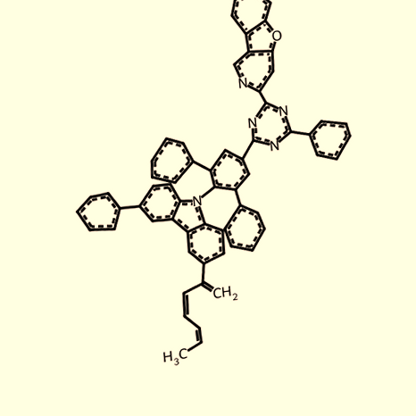 C=C(/C=C\C=C/C)c1ccc2c(c1)c1cc(-c3ccccc3)ccc1n2-c1c(-c2ccccc2)cc(-c2nc(-c3ccccc3)nc(-c3cc4oc5ccccc5c4cn3)n2)cc1-c1ccccc1